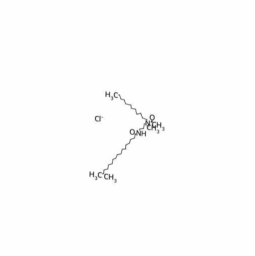 CCCCCCCCCCCC[N+](C)(CCCNC(=O)CCCCCCCCCCCCCCC(C)C)C(C)=O.[Cl-]